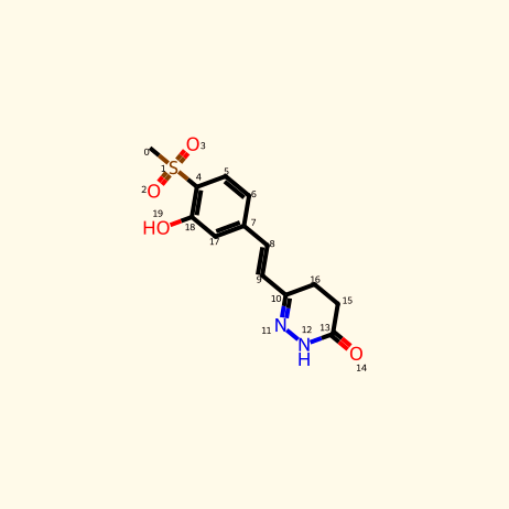 CS(=O)(=O)c1ccc(C=CC2=NNC(=O)CC2)cc1O